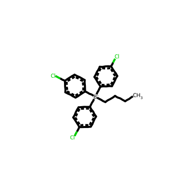 CCCC[B-](c1ccc(Cl)cc1)(c1ccc(Cl)cc1)c1ccc(Cl)cc1